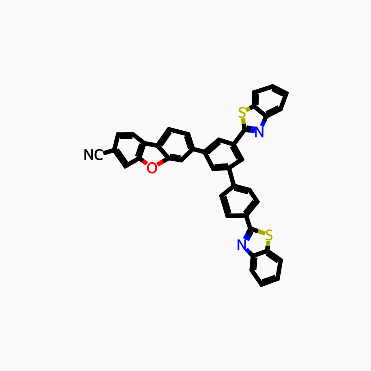 N#Cc1ccc2c(c1)oc1cc(-c3cc(-c4ccc(-c5nc6ccccc6s5)cc4)cc(-c4nc5ccccc5s4)c3)ccc12